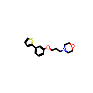 [c]1ccc(-c2cccc(OCCCN3CCOCC3)c2)s1